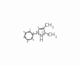 CC1=CN(c2ccccc2)NC1C